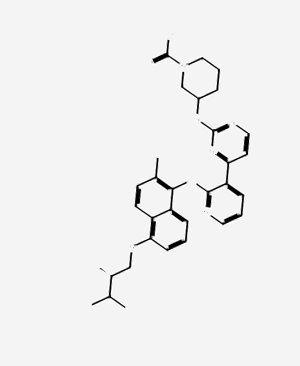 Cc1ccc2c(NC[C@H](O)C(C)C)cccc2c1Oc1ncccc1-c1ccnc(NC2CCCN(C(=O)O)C2)n1